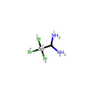 N[CH](N)[Sn]([Br])([Br])[Br]